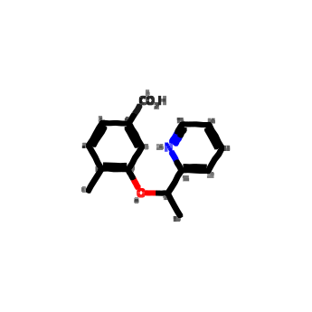 Cc1ccc(C(=O)O)cc1OC(C)c1ccccn1